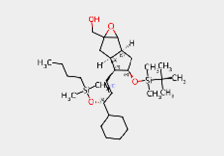 CCCC[Si](C)(C)O[C@H](/C=C/[C@H]1[C@H]2CC3(CO)OC3[C@H]2C[C@H]1O[Si](C)(C)C(C)(C)C)C1CCCCC1